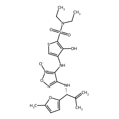 C=C(C)[C@@H](Nc1no[n+]([O-])c1Nc1csc(S(=O)(=O)N(CC)CC)c1O)c1ccc(C)o1